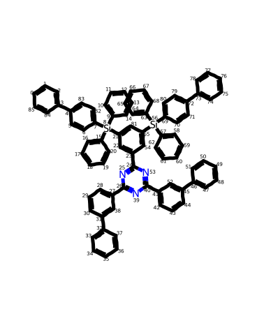 c1ccc(-c2ccc([Si](c3ccccc3)(c3ccccc3)c3cc(-c4nc(-c5cccc(-c6ccccc6)c5)nc(-c5cccc(-c6ccccc6)c5)n4)cc([Si](c4ccccc4)(c4ccccc4)c4ccc(-c5ccccc5)cc4)c3)cc2)cc1